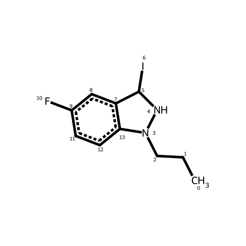 CCCN1NC(I)c2cc(F)ccc21